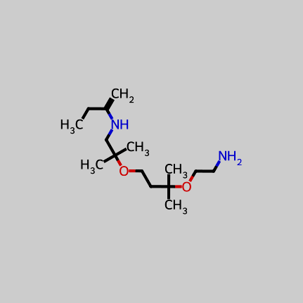 C=C(CC)NCC(C)(C)OCCC(C)(C)OCCN